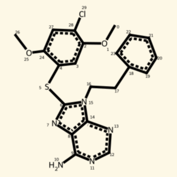 COc1cc(Sc2nc3c(N)ncnc3n2CCc2ccccc2)c(OC)cc1Cl